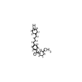 CC1CCCN(C(=O)c2ccc(CCCCC3CCNCC3)cc2)C1